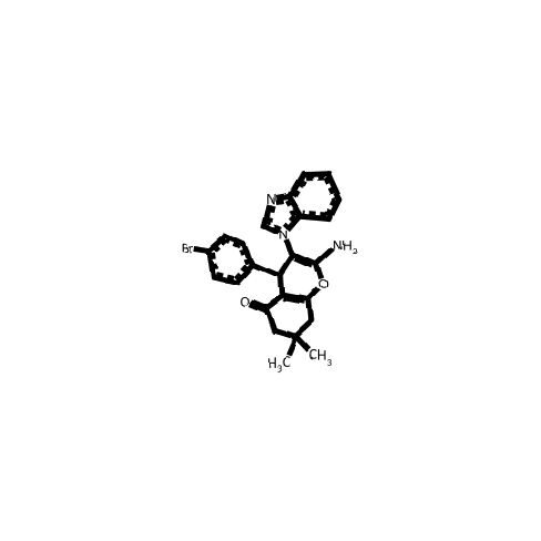 CC1(C)CC(=O)C2=C(C1)OC(N)=C(n1cnc3ccccc31)C2c1ccc(Br)cc1